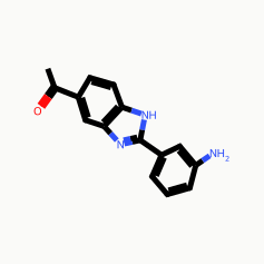 CC(=O)c1ccc2[nH]c(-c3cccc(N)c3)nc2c1